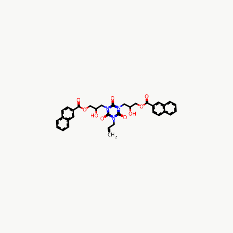 C=CCn1c(=O)n(CC(O)COC(=O)c2ccc3ccccc3c2)c(=O)n(CC(O)COC(=O)c2ccc3ccccc3c2)c1=O